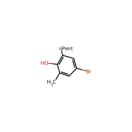 CCCCCc1cc(Br)cc(C)c1O